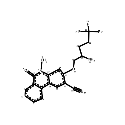 Cn1c(=O)c2cnccc2c2cc(C#N)c(OCC(N)CCC(F)(F)F)cc21